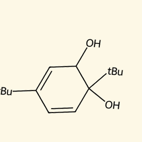 CC(C)(C)C1=CC(O)C(O)(C(C)(C)C)C=C1